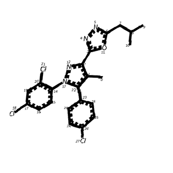 Cc1c(-c2nnc(CC(C)C)o2)nn(-c2ccc(Cl)cc2Cl)c1-c1ccc(Cl)cc1